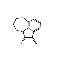 O=C1C(=O)N2CCCSc3cccc1c32